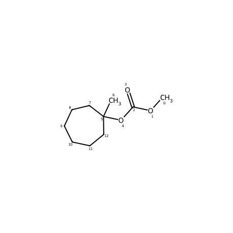 COC(=O)OC1(C)CCCCCC1